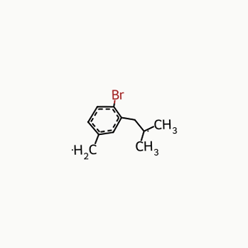 [CH2]c1ccc(Br)c(C[C](C)C)c1